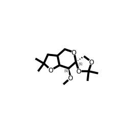 CO[C@H]1C2OC(C)(C)CC2CO[C@]12COC(C)(C)O2